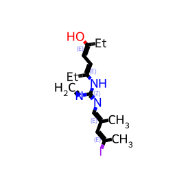 C=N\C(=N/C=C(C)/C=C(\C)I)N/C(=C/C=C(/O)CC)CC